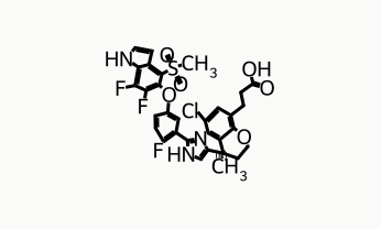 C[C@@]1(c2c[nH]c(-c3cc(Oc4c(F)c(F)c5[nH]ccc5c4S(C)(=O)=O)ccc3F)n2)CCOc2c(CCC(=O)O)cc(Cl)cc21